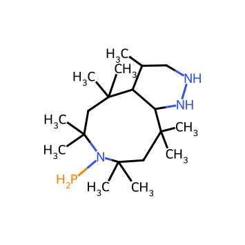 CC1CNNC2C1C(C)(C)CC(C)(C)N(P)C(C)(C)CC2(C)C